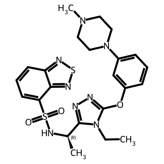 CCn1c(Oc2cccc(N3CCN(C)CC3)c2)nnc1[C@@H](C)NS(=O)(=O)c1cccc2nsnc12